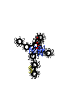 c1ccc(-c2ccc3c(c2)c2cc(-c4ccccc4)ccc2n3-c2ccc(-c3ccc4c(c3)sc3ccccc34)cc2-c2nc(-c3ccccc3)nc(-c3ccccc3)n2)cc1